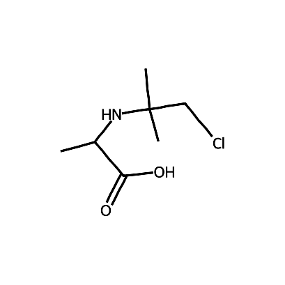 CC(NC(C)(C)CCl)C(=O)O